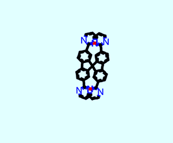 c1cnc(-c2ccc3c(c2)C2(c4cc(-c5ncccn5)ccc4-3)c3cc(-c4ncccn4)ccc3-c3ccc(-c4ncccn4)cc32)nc1